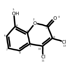 O=c1oc2c(O)cccc2c(Cl)c1Cl